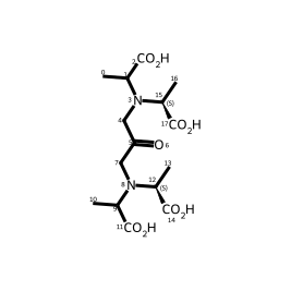 CC(C(=O)O)N(CC(=O)CN(C(C)C(=O)O)[C@@H](C)C(=O)O)[C@@H](C)C(=O)O